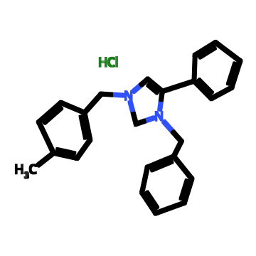 Cc1ccc(CN2C=C(c3ccccc3)N(Cc3ccccc3)C2)cc1.Cl